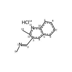 C/N=C/c1cc2ccccc2nc1C.Cl